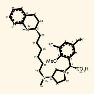 COc1c(F)cc(C(C)C)cc1[C@@H](C(=O)O)N1CC[C@@H](N(C)CCCCCC[C@@H]2CCc3cccnc3N2)C1